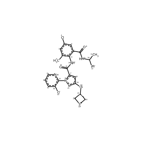 Cc1cc(Cl)cc(C(=O)NC(C)C(C)C)c1NC(=O)c1cc(OC2CSC2)nn1-c1ncccc1Cl